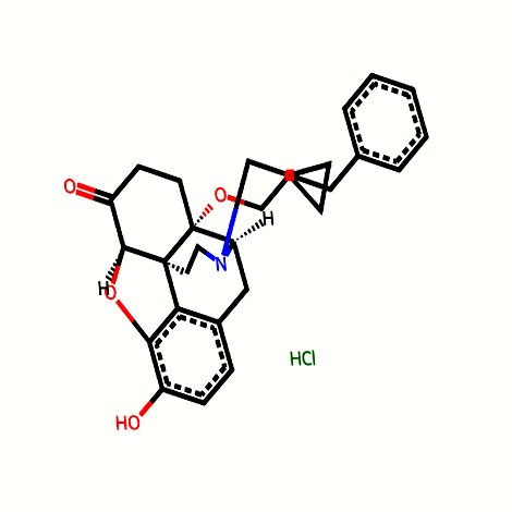 Cl.O=C1CC[C@@]2(OCCCc3ccccc3)[C@H]3Cc4ccc(O)c5c4[C@@]2(CCN3CC2CC2)[C@H]1O5